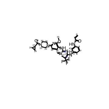 C=CC(=O)Nc1cccc(NC(/N=C(\N=C)Nc2ccc(N3CCN(C(=O)C4CC4)CC3)nc2OC)=C(/C)C(F)(F)F)c1